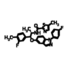 Cc1cnc(C(=O)N[C@@H](C)[C@@H](Oc2ccc3c(cnn3-c3ccc(F)cc3)c2)c2ccc(C)c(F)c2)s1